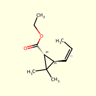 C/C=C\[C@@H]1[C@@H](C(=O)OCC)C1(C)C